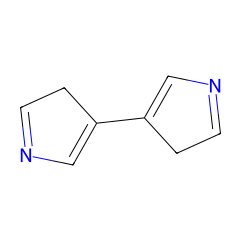 C1=NC=C(C2=CN=CC2)C1